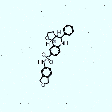 O=S(=O)(Nc1ccc2c(c1)COC2)c1ccc2c(c1)[C@H]1OCC[C@H]1C(c1ccccc1)N2